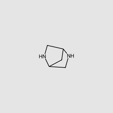 C1NC2CNC1C2